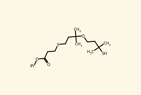 CC(C)OC(=O)CCSCCC(C)(C)OCCC(C)(C)S